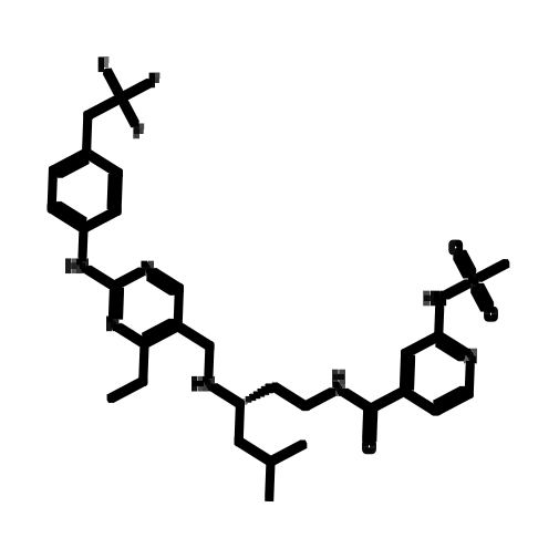 CCc1nc(Nc2ccc(CC(F)(F)F)cc2)ncc1CN[C@H](CCNC(=O)c1ccnc(NS(C)(=O)=O)c1)CC(C)C